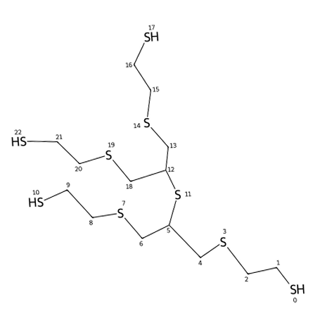 SCCSCC(CSCCS)SC(CSCCS)CSCCS